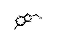 CC(=O)Cn1cc2ncc(I)cc2n1